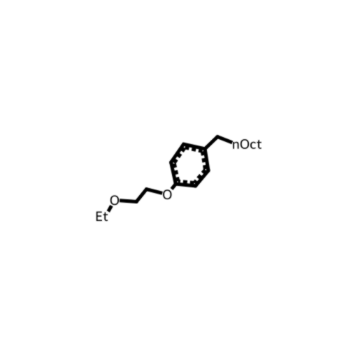 [CH2]COCCOc1ccc(CCCCCCCCC)cc1